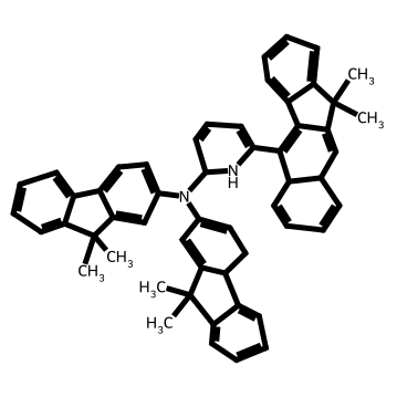 CC1(C)C2=CC3C=CC=CC3C(C3=CC=CC(N(C4=CCC5C(=C4)C(C)(C)c4ccccc45)c4ccc5c(c4)C(C)(C)c4ccccc4-5)N3)=C2c2ccccc21